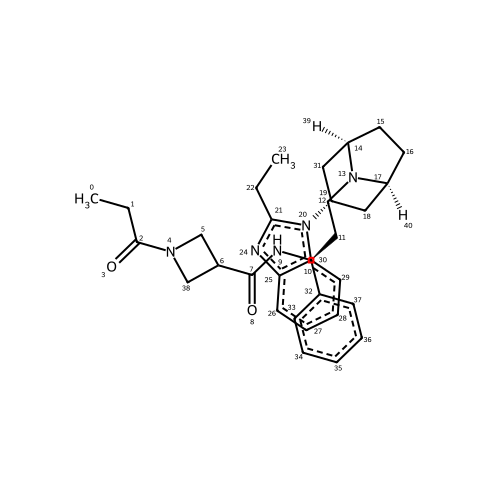 CCC(=O)N1CC(C(=O)N[C@@H](CCN2[C@@H]3CC[C@H]2C[C@H](n2c(CC)nc4ccccc42)C3)c2ccccc2)C1